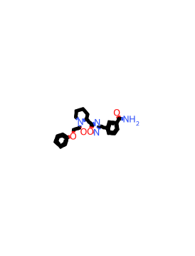 NC(=O)c1cccc(-c2noc(C3CCCCN3C(=O)COc3ccccc3)n2)c1